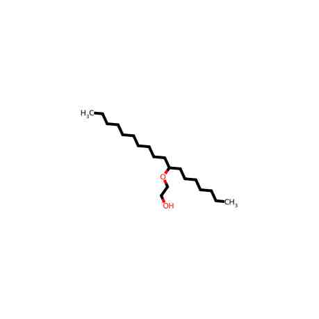 CCCCCCCCCCC(CCCCCCC)OCCO